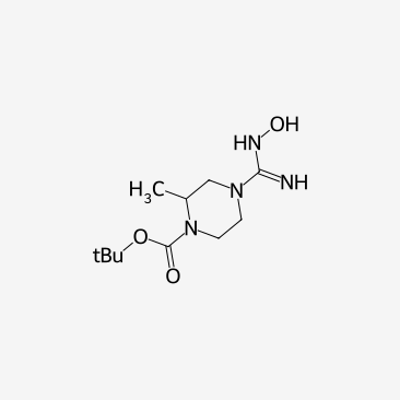 CC1CN(C(=N)NO)CCN1C(=O)OC(C)(C)C